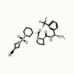 C[C@@H](NC(=O)[C@H]1CCCN1C(=O)[C@H]1CCCN(S(=O)(=O)N2CC(C#N)C2)C1)c1cccc(C(F)(F)F)c1